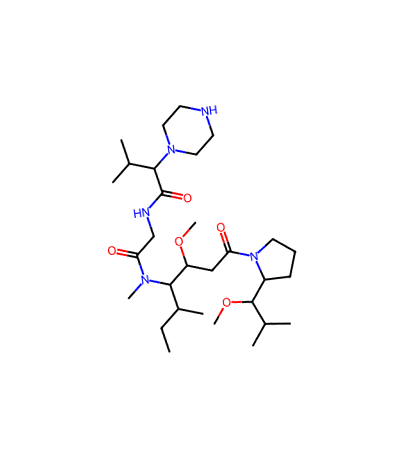 CCC(C)C(C(CC(=O)N1CCCC1C(OC)C(C)C)OC)N(C)C(=O)CNC(=O)C(C(C)C)N1CCNCC1